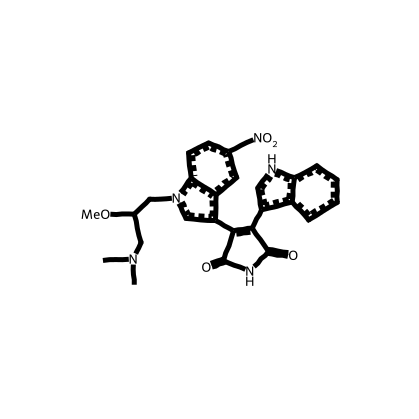 COC(CN(C)C)Cn1cc(C2=C(c3c[nH]c4ccccc34)C(=O)NC2=O)c2cc([N+](=O)[O-])ccc21